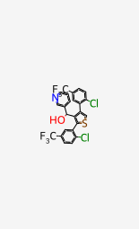 OC(c1cccnc1)c1c(-c2cc(C(F)(F)F)ccc2Cl)csc1-c1cc(C(F)(F)F)ccc1Cl